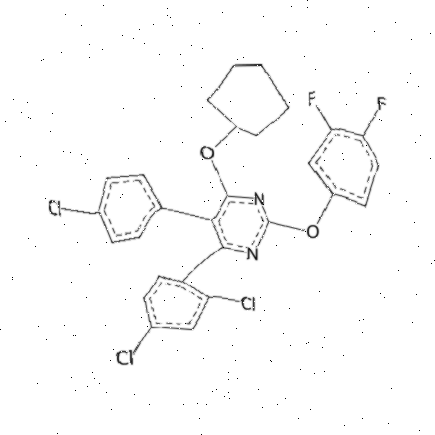 Fc1ccc(Oc2nc(OC3CCCCC3)c(-c3ccc(Cl)cc3)c(-c3ccc(Cl)cc3Cl)n2)cc1F